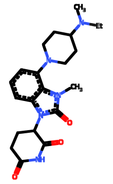 CCN(C)C1CCN(c2cccc3c2n(C)c(=O)n3C2CCC(=O)NC2=O)CC1